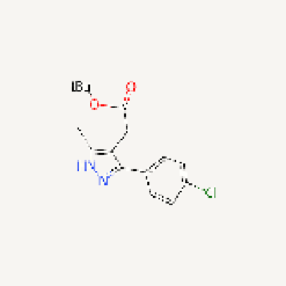 Cc1[nH]nc(-c2ccc(Cl)cc2)c1CC(=O)OC(C)(C)C